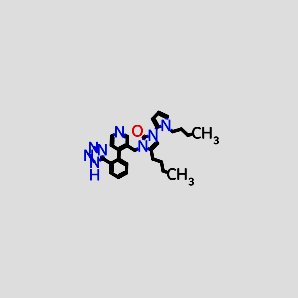 CCCCc1cn(-c2cccn2CCCC)c(=O)n1Cc1cnccc1-c1ccccc1-c1nnn[nH]1